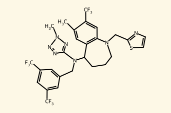 Cc1cc2c(cc1C(F)(F)F)N(Cc1nccs1)CCCC2N(Cc1cc(C(F)(F)F)cc(C(F)(F)F)c1)c1nnn(C)n1